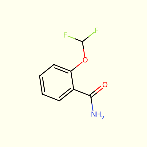 NC(=O)c1ccccc1OC(F)F